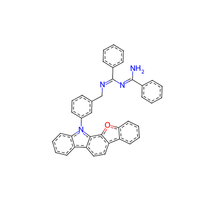 N/C(=N\C(=N/Cc1cccc(-n2c3ccccc3c3ccc4c5ccccc5oc4c32)c1)c1ccccc1)c1ccccc1